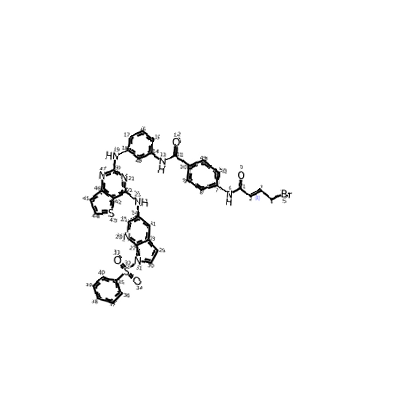 O=C(/C=C/CBr)Nc1ccc(C(=O)Nc2cccc(Nc3nc(Nc4cnc5c(ccn5S(=O)(=O)c5ccccc5)c4)c4sccc4n3)c2)cc1